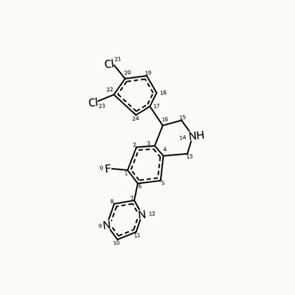 Fc1cc2c(cc1-c1cnccn1)CNCC2c1ccc(Cl)c(Cl)c1